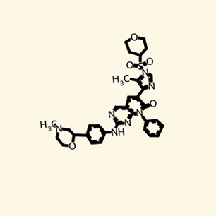 Cc1c(-c2cc3cnc(Nc4ccc(C5CN(C)CCO5)cc4)nc3n(-c3ccccc3)c2=O)ncn1S(=O)(=O)C1CCOCC1